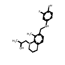 CCCc1ccc(NCc2ccc3c(c2C)N(CC(C)O)CCC3)cc1F